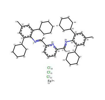 CC(=Nc1c(C2CCCCC2)cc(C)cc1C1CCCCC1)c1cccc(C(C)=Nc2c(C3CCCCC3)cc(C)cc2C2CCCCC2)n1.[Cl-].[Cl-].[Cl-].[Fe+3]